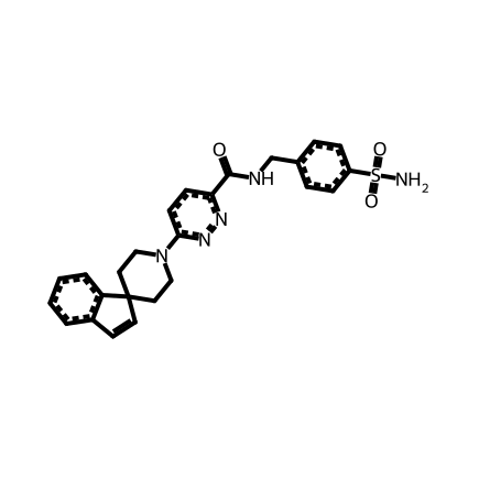 NS(=O)(=O)c1ccc(CNC(=O)c2ccc(N3CCC4(C=Cc5ccccc54)CC3)nn2)cc1